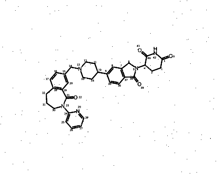 O=C1CCC(N2Cc3cc(C4CCN(Cc5ccc6c(c5)C(=O)N(c5ccccn5)CCC6)CC4)ccc3C2=O)C(=O)N1